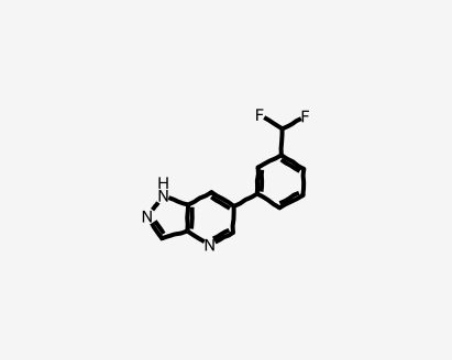 FC(F)c1cccc(-c2cnc3cn[nH]c3c2)c1